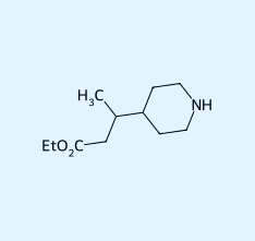 CCOC(=O)CC(C)C1CCNCC1